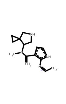 C=C(c1cc[nH]c1/N=C\C)N(C)C1CNCC12CC2